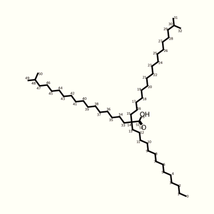 CCCCCCCCCCCCCCC(CCCCCCCCCCCCCCCC(C)C)(CCCCCCCCCCCCCCCC(C)C)C(=O)O